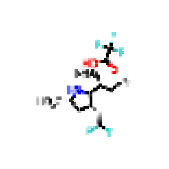 CC(=O)N[C@@H](CC(C)C)[C@@H]1N[C@@H](C(=O)O)C[C@H]1C=C(F)F.O=C(O)C(F)(F)F